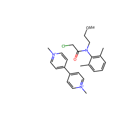 COCCN(C(=O)CCl)c1c(C)cccc1C.C[n+]1ccc(-c2cc[n+](C)cc2)cc1